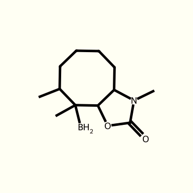 BC1(C)C(C)CCCCC2C1OC(=O)N2C